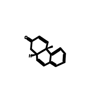 C[C@]12C=CC(=O)C[C@H]1C=Cc1ccccc12